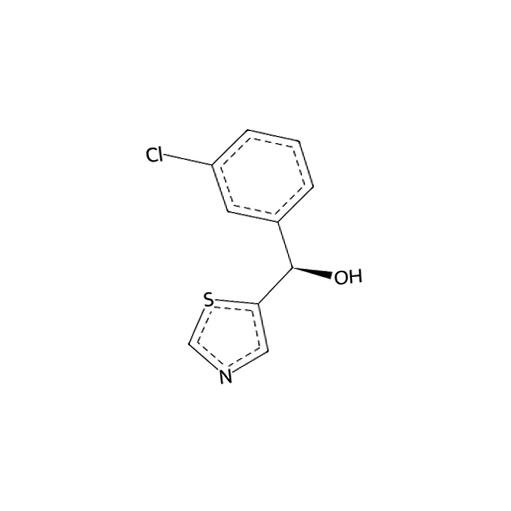 O[C@H](c1cccc(Cl)c1)c1cncs1